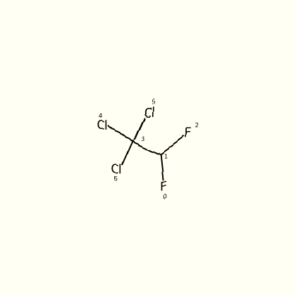 FC(F)C(Cl)(Cl)Cl